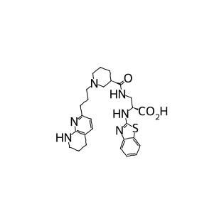 O=C(NC[C@H](Nc1nc2ccccc2s1)C(=O)O)[C@@H]1CCCN(CCCc2ccc3c(n2)NCCC3)C1